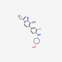 N#Cc1c(-c2ccc(N[C@H]3CC[C@@H](O)CC3)c(Cl)c2)ccn2c(CC(F)(F)F)cnc12